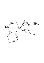 N#C/C(=C/C1(O)C=CNc2ccccc21)C(N)=S